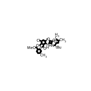 COC(=O)c1ccc(C)cc1N1Cc2c(Cl)cc(F)c(Nc3c(N[C@@H](c4cc(C)c(C)o4)C(C)(C)C)c(=O)c3=O)c2C1=O